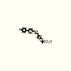 CC(C)(Sc1nc(CCNc2ccc(-c3ccc(F)cc3)nn2)cs1)C(=O)O